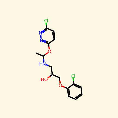 CC(NCC(O)COc1ccccc1Cl)Oc1ccc(Cl)nn1